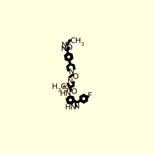 CCc1nnc(-c2ccc(C3CCN(C(=O)CN4CC[C@@](SC)(C(=O)Nc5ccc6[nH]nc(-c7ccc(F)cc7)c6c5)C4)CC3)cc2)o1